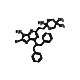 Cn1c(Br)nc2c(N(Cc3ccccc3)Cc3ccccc3)nc(CCC3(C)OCC(C)(C)CO3)nc21